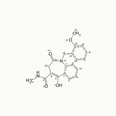 CNC(=O)C1=C(O)c2ccccc2N(Cc2ccccc2OC)C(=O)C1